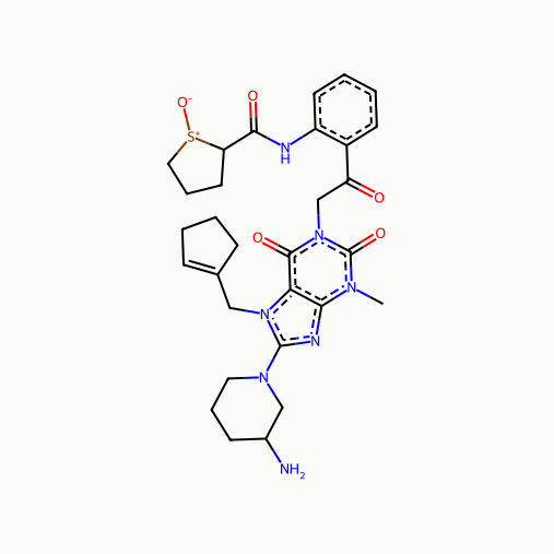 Cn1c(=O)n(CC(=O)c2ccccc2NC(=O)C2CCC[S+]2[O-])c(=O)c2c1nc(N1CCCC(N)C1)n2CC1=CCCC1